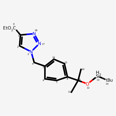 CCOC(=O)c1cn(Cc2ccc(C(C)(C)O[SiH2]C(C)(C)C)cc2)nn1